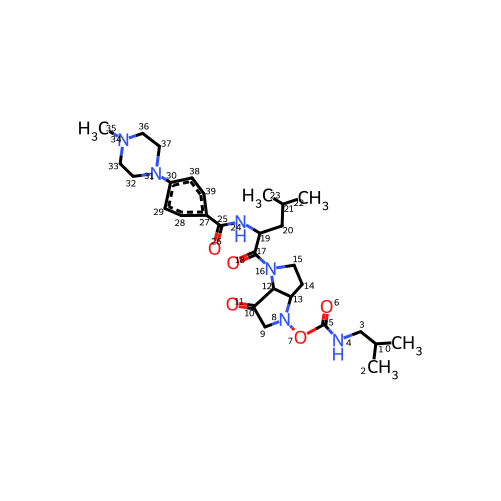 CC(C)CNC(=O)ON1CC(=O)C2C1CCN2C(=O)C(CC(C)C)NC(=O)c1ccc(N2CCN(C)CC2)cc1